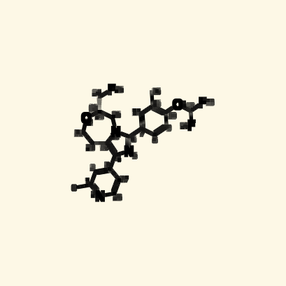 Cc1cc(-c2nc(-c3ccc(OC(F)F)c(C)c3)n3c2CCO[C@H](CF)C3)ccn1